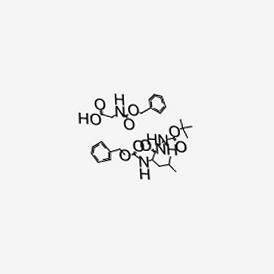 CC(C)CC(NC(=O)OCc1ccccc1)C(=O)NNC(=O)OC(C)(C)C.O=C(O)CNC(=O)OCc1ccccc1